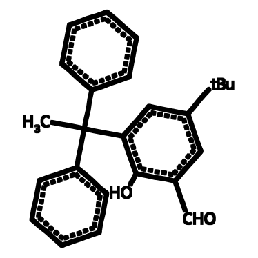 CC(C)(C)c1cc(C=O)c(O)c(C(C)(c2ccccc2)c2ccccc2)c1